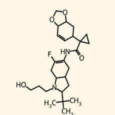 CC(C)(C)C1CC2CC(NC(=O)C3(C4C=CC5OCOC5C4)CC3)=C(F)CC2N1CCCO